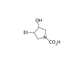 CCC1CN(C(=O)O)CC1O